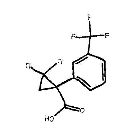 O=C(O)C1(c2cccc(C(F)(F)F)c2)CC1(Cl)Cl